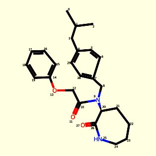 CC(C)Cc1ccc(CN(C(=O)COc2ccccc2)[C@H]2CCCCNC2=O)cc1